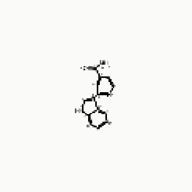 NC(=O)c1ccnc(-c2c[nH]c3ccccc23)c1